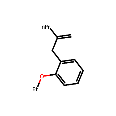 C=C(CCC)Cc1ccccc1OCC